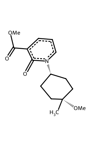 COC(=O)c1cccn([C@H]2CC[C@@](C)(OC)CC2)c1=O